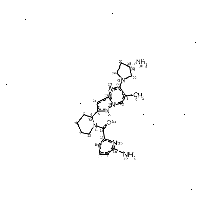 Cc1cn2nc([C@@H]3CCCCN3C(=O)c3cccc(N)n3)cc2nc1N1CC[C@H](N)C1